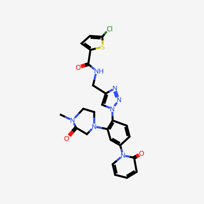 CN1CCN(c2cc(-n3ccccc3=O)ccc2-n2cc(CNC(=O)c3ccc(Cl)s3)nn2)CC1=O